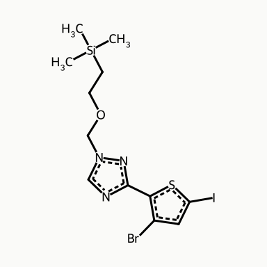 C[Si](C)(C)CCOCn1cnc(-c2sc(I)cc2Br)n1